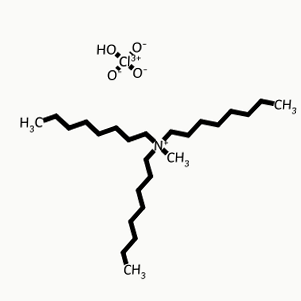 CCCCCCCC[N+](C)(CCCCCCCC)CCCCCCCC.[O-][Cl+3]([O-])([O-])O